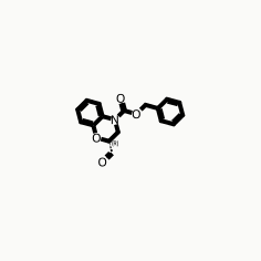 O=C[C@H]1CN(C(=O)OCc2ccccc2)c2ccccc2O1